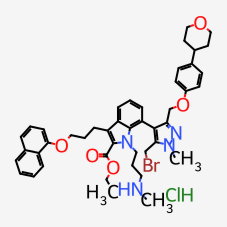 CCOC(=O)c1c(CCCOc2cccc3ccccc23)c2cccc(-c3c(COc4ccc(C5CCOCC5)cc4)nn(C)c3CBr)c2n1CCCNC.Cl